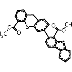 COC(=O)c1cccc2c1Sc1cc(-c3ccc4c(sc5ccccc54)c3C(=O)OC)ccc1C2